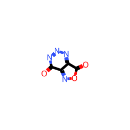 O=C1N=NN=C2C(=O)ON=C12